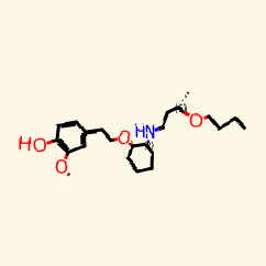 CCCCO[C@@H](C)CCN[C@@H]1CCCCC1OCCc1ccc(O)c(OC)c1